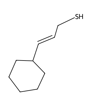 SC/C=C/C1CCCCC1